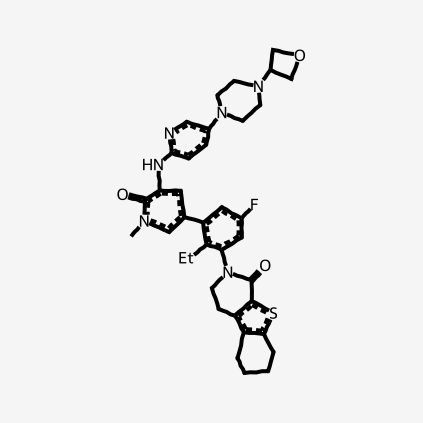 CCc1c(-c2cc(Nc3ccc(N4CCN(C5COC5)CC4)cn3)c(=O)n(C)c2)cc(F)cc1N1CCc2c(sc3c2CCCC3)C1=O